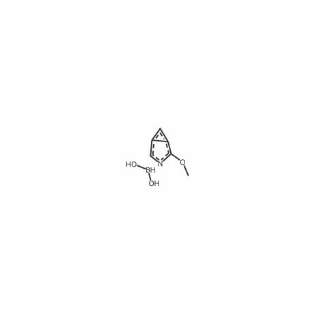 COc1ncc2cc1-2.OBO